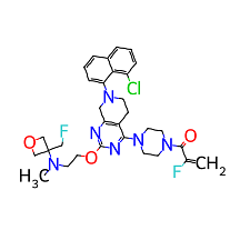 C=C(F)C(=O)N1CCN(c2nc(OCCN(C)C3(CF)COC3)nc3c2CCN(c2cccc4cccc(Cl)c24)C3)CC1